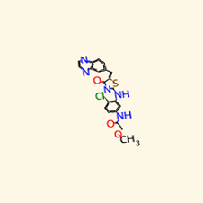 COCC(=O)Nc1ccc(Cl)c(NC2=NC(=O)C(=Cc3ccc4nccnc4c3)S2)c1